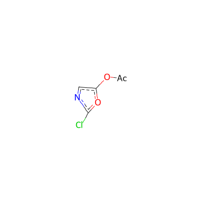 CC(=O)Oc1cnc(Cl)o1